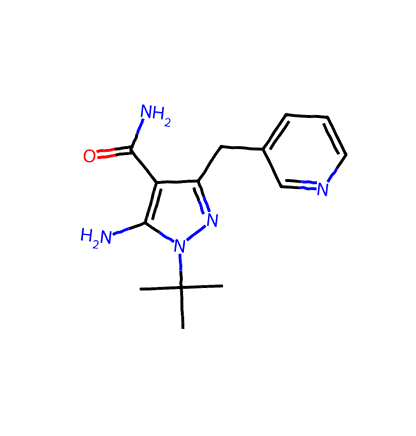 CC(C)(C)n1nc(Cc2cccnc2)c(C(N)=O)c1N